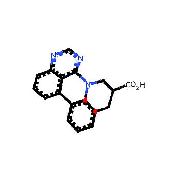 O=C(O)C1CCCN(c2ncnc3cccc(-c4ccccc4)c23)C1